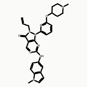 C=CCn1c(=O)c2cnc(Nc3ccc4c(ccn4C)c3)nc2n1-c1cccc(OC2CCN(C)CC2)n1